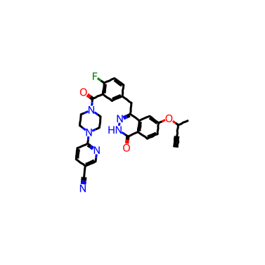 C#CC(C)Oc1ccc2c(=O)[nH]nc(Cc3ccc(F)c(C(=O)N4CCN(c5ccc(C#N)cn5)CC4)c3)c2c1